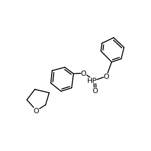 C1CCOC1.O=[PH](Oc1ccccc1)Oc1ccccc1